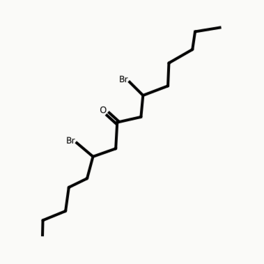 CCCCCC(Br)CC(=O)CC(Br)CCCCC